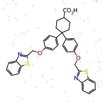 O=C(O)C1CCC(c2ccc(OCc3nc4ccccc4s3)cc2)(c2ccc(OCc3nc4ccccc4s3)cc2)CC1